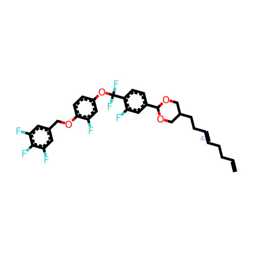 C=CCC/C=C/CCC1COC(c2ccc(C(F)(F)Oc3ccc(OCc4cc(F)c(F)c(F)c4)c(F)c3)c(F)c2)OC1